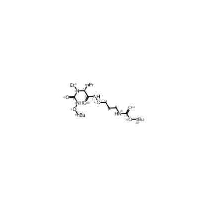 CCCCONC(=O)N(CC)[C@@H](CCC)C(=O)NOCCCNC(=O)OC(C)(C)C